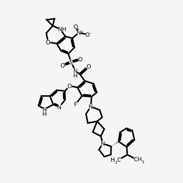 CC(C)c1ccccc1[C@@H]1CCCN1C1CC2(CCN(c3ccc(C(=O)NS(=O)(=O)c4cc5c(c([N+](=O)[O-])c4)NC4(CC4)CO5)c(Oc4cnc5[nH]ccc5c4)c3F)CC2)C1